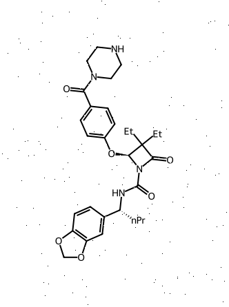 CCC[C@@H](NC(=O)N1C(=O)C(CC)(CC)[C@@H]1Oc1ccc(C(=O)N2CCNCC2)cc1)c1ccc2c(c1)OCO2